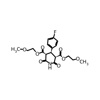 COCCOC(=O)[C@H]1C(=O)NC(=O)[C@@H](C(=O)OCCOC)[C@H]1c1ccc(F)cc1